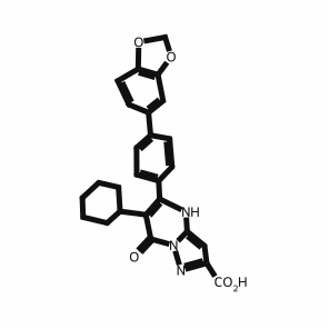 O=C(O)c1cc2[nH]c(-c3ccc(-c4ccc5c(c4)OCO5)cc3)c(C3CCCCC3)c(=O)n2n1